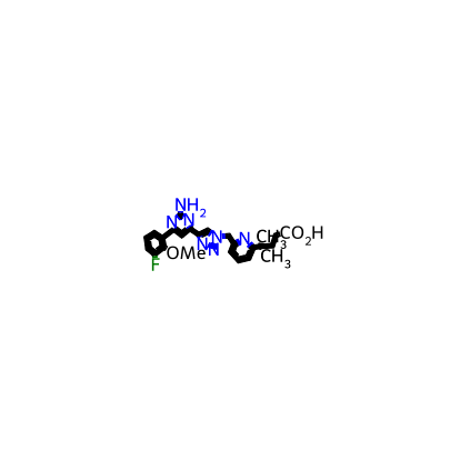 COc1c(F)cccc1-c1cc(-c2cn(Cc3cccc(C(C)(C)CCC(=O)O)n3)nn2)nc(N)n1